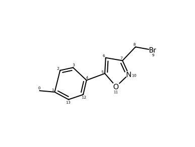 Cc1ccc(-c2cc(CBr)no2)cc1